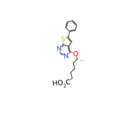 C[C@H](CCCCC(=O)O)Oc1ncnc2sc(-c3ccccc3)cc12